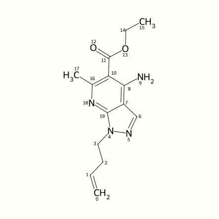 C=CCCn1ncc2c(N)c(C(=O)OCC)c(C)nc21